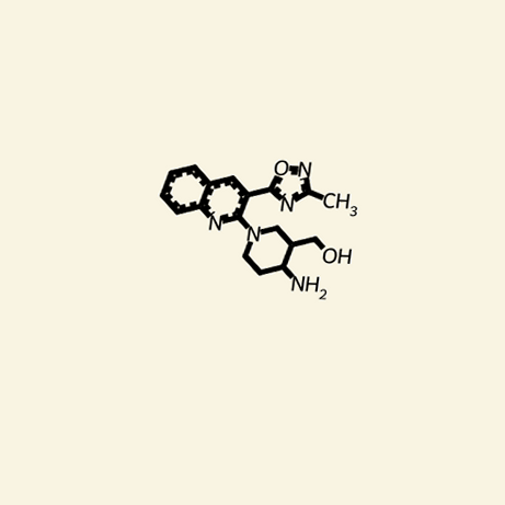 Cc1noc(-c2cc3ccccc3nc2N2CCC(N)C(CO)C2)n1